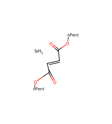 CCCCCOC(=O)/C=C/C(=O)OCCCCC.[SrH2]